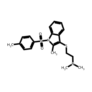 Cc1ccc(S(=O)(=O)n2c(C)c(SCCN(C)C)c3ccccc32)cc1